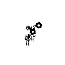 CC1(Nc2ccc(Sc3ccccc3)c(Cl)c2)N=CNN1.N